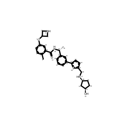 Cc1ccc(OC2CNC2)cc1C(=O)N[C@H](C)c1cccc(-c2ccc(CN[C@H]3CC[C@@H](O)C3)s2)c1